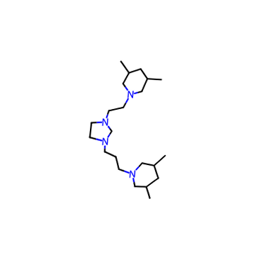 CC1CC(C)CN(CCCN2CCN(CCN3CC(C)CC(C)C3)C2)C1